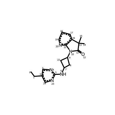 CCc1cnc(NC2CC(N3C(=O)C(C)(C)c4cccnc43)C2)nc1